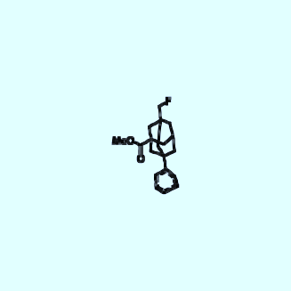 COC(=O)C12CC3CC(CF)(C1)CC(c1ccccc1)(C3)C2